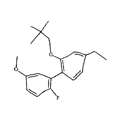 CCc1ccc(-c2cc(OC)ccc2F)c(OCC(C)(C)C)c1